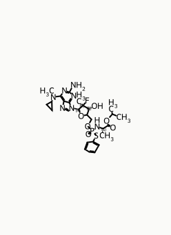 CC(C)OC(=O)[C@H](C)NP(=O)(OCC1O[C@@H](n2cnc3c(N(C)C4CC4)nc(N)nc32)[C@](C)(F)[C@@H]1O)Sc1ccccc1